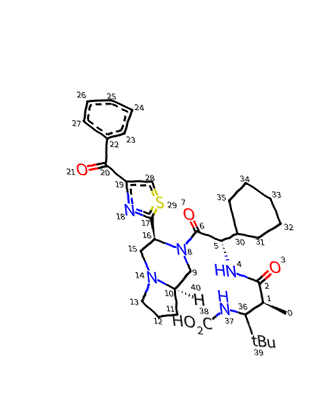 C[C@H](C(=O)N[C@H](C(=O)N1C[C@H]2CCCN2C[C@H]1c1nc(C(=O)c2ccccc2)cs1)C1CCCCC1)C(NC(=O)O)C(C)(C)C